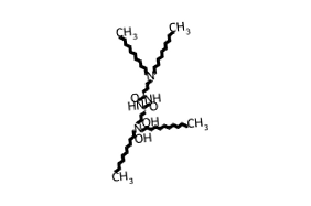 CCCCCCCCCCCCN(CCCCCCCCCCCC)CCCC[C@H]1NC(=O)[C@H](CCCCN(C[C@H](O)CCCCCCCCCC)C[C@@H](O)CCCCCCCCCC)NC1=O